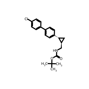 CC(C)(C)OC(=O)NC[C@@H]1C[C@H]1c1ccc(-c2ccc(Cl)cc2)cc1